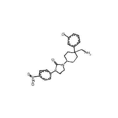 NCC1(c2cccc(Cl)c2)CCC(N2CCN(c3ccc([SH](=O)=O)cc3)C2=O)CC1